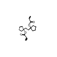 C=CC(=O)OC1(CCC2(OC(=O)C=C)CCCC2)CCCC1